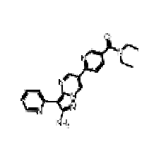 CCN(CC)C(=O)c1ccc(-c2cnc3c(-c4ccccn4)c(N)nn3c2)nc1